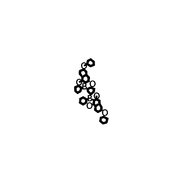 c1ccc(Oc2ccc3c4c5c(cc3c2)Oc2cc3c(cc2B5c2ccccc2O4)B2c4ccccc4Oc4c2c(cc2cc(Oc5ccccc5)ccc42)O3)cc1